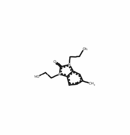 Cc1ccc2c(c1)n(CCO)c(=O)n2CCO